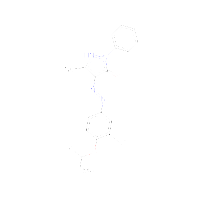 COC(C)Oc1ccc(/N=N/c2c(C#N)[nH]n(-c3ccccc3)c2=O)cc1S(=O)(=O)O